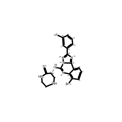 O=C1NCCNC[C@H]1Nc1nc2c(Br)cccc2c2nc(-c3cccc(F)c3)nn12